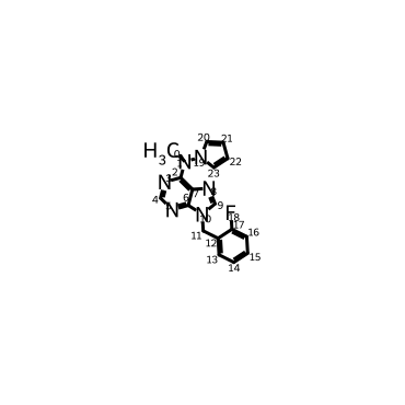 CN(c1ncnc2c1ncn2Cc1ccccc1F)n1cccc1